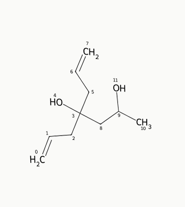 C=CCC(O)(CC=C)CC(C)O